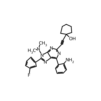 CN(C)n1c(-c2cccc(F)c2)nc2c(-c3ccccc3N)nc(C#CC3(O)CCCCC3)nc21